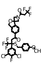 COc1ccc(CSC(CC(=O)c2ccc3c(c2)COC32CN(C(=O)CC(F)(F)F)C2)(c2cc(Cl)c(F)c(Cl)c2)C(F)(F)F)cc1